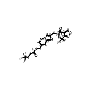 O=C(CCC(F)(F)F)NCc1cnn2cc(CNC(=O)c3conc3C(F)(F)F)nc2c1